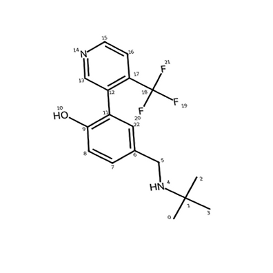 CC(C)(C)NCc1ccc(O)c(-c2cnccc2C(F)(F)F)c1